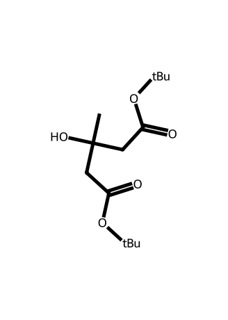 CC(O)(CC(=O)OC(C)(C)C)CC(=O)OC(C)(C)C